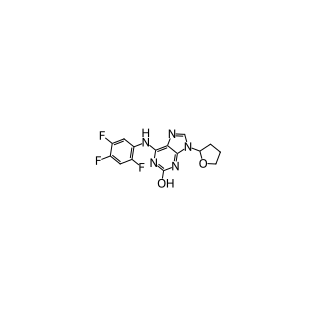 Oc1nc(Nc2cc(F)c(F)cc2F)c2ncn(C3CCCO3)c2n1